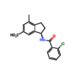 Cc1cc(C(=O)O)cc2c1CC[C@H]2NC(=O)c1ccccc1Cl